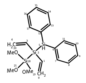 C=C[Si](C=C)([SiH](c1ccccc1)c1ccccc1)[Si](OC)(OC)OC